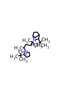 CC(CCC(C)(C)N1C2CCC(C2)C1C(C)(C)C)N1CCC[C@H]1C(C)(C)C